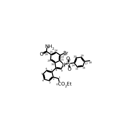 CCOC(=O)Cc1ccccc1-c1cn(S(=O)(=O)c2ccc(C)cc2)c2c(Br)cc(C(N)=O)cc12